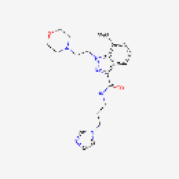 COc1cccc2c(C(=O)NCCCn3ccnc3)nn(CCN3CCOCC3)c12